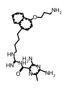 Cc1nc(C(=O)NC(=N)NCCCCc2ccc(OCCCN)c3ccccc23)c(N)nc1N